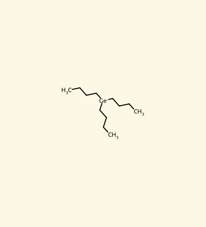 CCC[CH2][Ge-]([CH2]CCC)[CH2]CCC